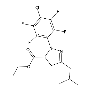 CCOC(=O)C1CC(CC(C)C)=NN1c1c(F)c(F)c(Cl)c(F)c1F